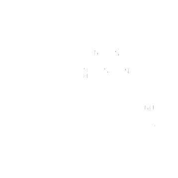 CC(=O)Nc1cccc(Nc2ncnc(NCCOc3ccc(F)cc3)n2)c1C